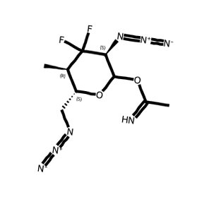 CC(=N)OC1O[C@H](CN=[N+]=[N-])[C@@H](C)C(F)(F)[C@H]1N=[N+]=[N-]